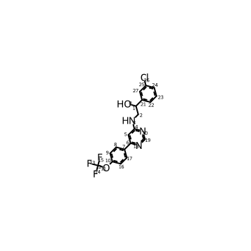 OC(CNc1cc(-c2ccc(OC(F)(F)F)cc2)ncn1)c1cccc(Cl)c1